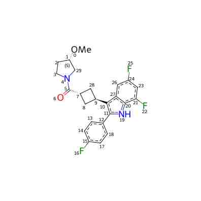 CO[C@H]1CCN(C(=O)[C@H]2C[C@H](c3c(-c4ccc(F)cc4)[nH]c4c(F)cc(F)cc43)C2)C1